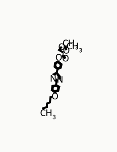 CCCCCCOc1ccc(-c2ncc(-c3ccc(OC(=O)[C@H]4COC(C)(C)O4)cc3)cn2)cc1